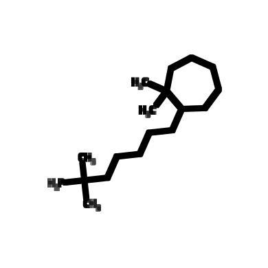 CC(C)(P)CCCCCC1CCCCCC1(C)C